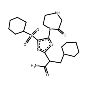 NC(=O)C(CC1CCCCC1)c1nc(S(=O)(=O)C2CCCCC2)c(N2CCNCC2=O)s1